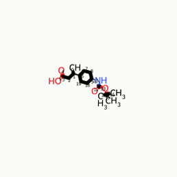 CC(CC(=O)O)[C@H]1CC[C@H](NC(=O)OC(C)(C)C)CC1